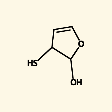 OC1OC=CC1S